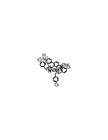 COc1ccc(CN(Cc2ccc(OC)cc2)S(=O)(=O)c2c(S(=O)O)ccc(-c3ccc(N)nc3)c2-c2nnn(Cc3ccc(OC)cc3)n2)cc1